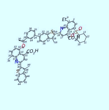 CCc1ccc(S(=O)(=O)C2CCCCC2)c2c(C(=O)O)cc(-c3sc4cc(-c5cccc([C@H](C)Oc6ccc(C)c7nc(-c8sc9ccccc9c8C)cc(C(=O)O)c67)c5)ccc4c3C)nc12